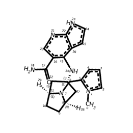 Cn1cccc1CN1[C@@H]2CC[C@H]1C[C@H](Nc1c(C(N)=O)cnc3[nH]ccc13)C2